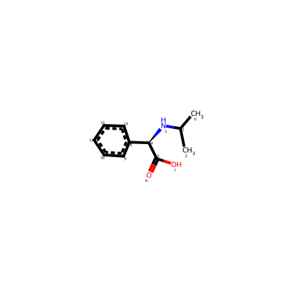 CC(C)N[C@@H](C(=O)O)c1ccccc1